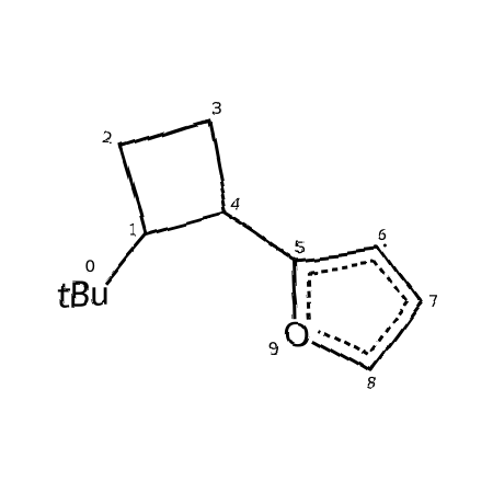 CC(C)(C)C1CCC1c1[c]cco1